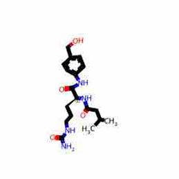 CC(C)CC(=O)N[C@@H](CCCNC(N)=O)C(=O)Nc1ccc(CO)cc1